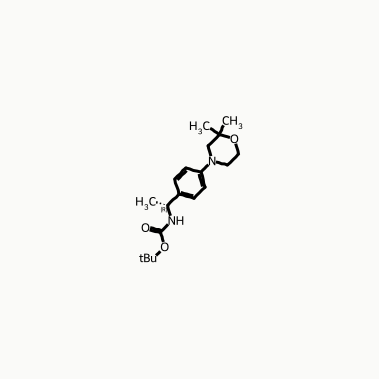 C[C@@H](NC(=O)OC(C)(C)C)c1ccc(N2CCOC(C)(C)C2)cc1